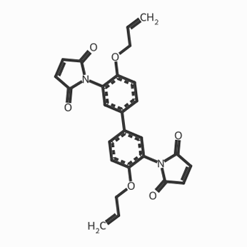 C=CCOc1ccc(-c2ccc(OCC=C)c(N3C(=O)C=CC3=O)c2)cc1N1C(=O)C=CC1=O